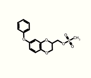 CS(=O)(=O)OCC1COc2ccc(Oc3ccccc3)cc2O1